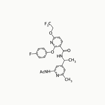 CC(=O)Nc1cc(C(C)NC(=O)c2ccc(OCC(F)(F)F)nc2Oc2ccc(F)cc2)cc(C)n1